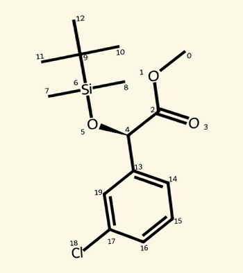 COC(=O)[C@H](O[Si](C)(C)C(C)(C)C)c1cccc(Cl)c1